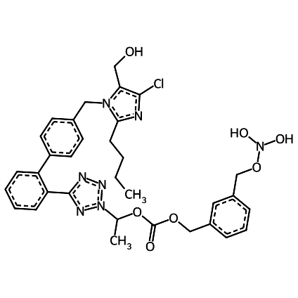 CCCCc1nc(Cl)c(CO)n1Cc1ccc(-c2ccccc2-c2nnn(C(C)OC(=O)OCc3cccc(CON(O)O)c3)n2)cc1